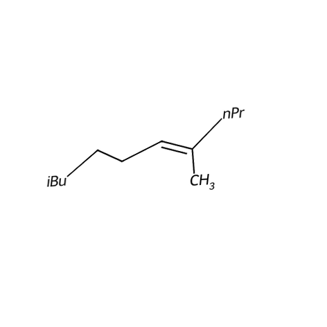 CCC/C(C)=C/CCC(C)CC